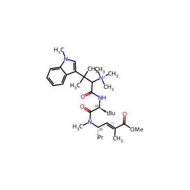 COC(=O)/C(C)=C/[C@H](C(C)C)N(C)C(=O)[C@@H](NC(=O)C(C(C)(C)c1cn(C)c2ccccc12)[N+](C)(C)C)C(C)(C)C